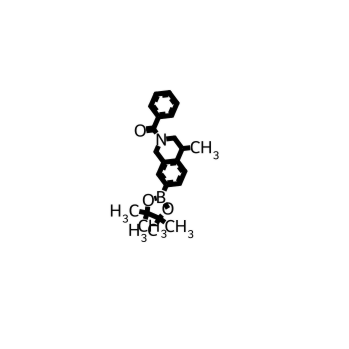 CC1CN(C(=O)c2ccccc2)Cc2cc(B3OC(C)(C)C(C)(C)O3)ccc21